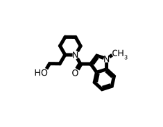 Cn1cc(C(=O)N2CCCCC2CCO)c2ccccc21